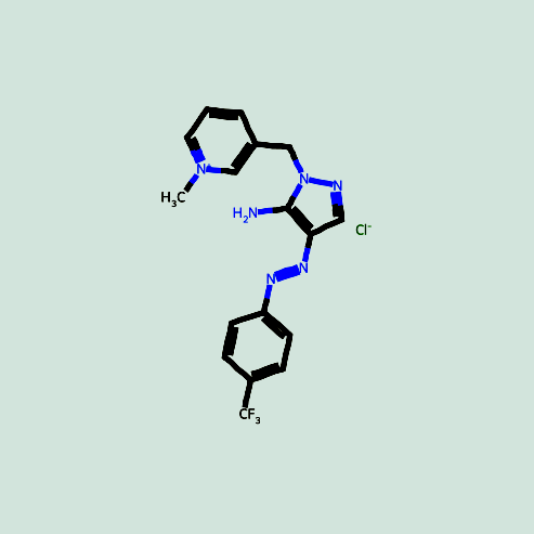 C[n+]1cccc(Cn2ncc(N=Nc3ccc(C(F)(F)F)cc3)c2N)c1.[Cl-]